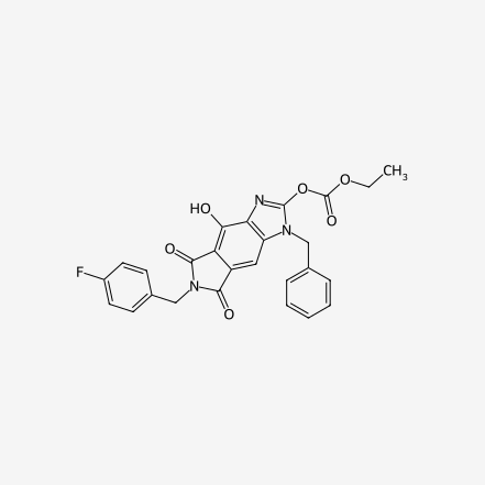 CCOC(=O)Oc1nc2c(O)c3c(cc2n1Cc1ccccc1)C(=O)N(Cc1ccc(F)cc1)C3=O